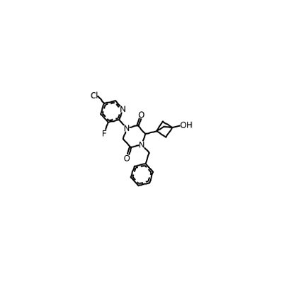 O=C1C(C23CC(O)(C2)C3)N(Cc2ccccc2)C(=O)CN1c1ncc(Cl)cc1F